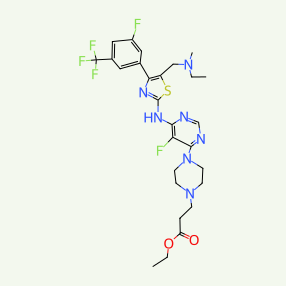 CCOC(=O)CCN1CCN(c2ncnc(Nc3nc(-c4cc(F)cc(C(F)(F)F)c4)c(CN(C)CC)s3)c2F)CC1